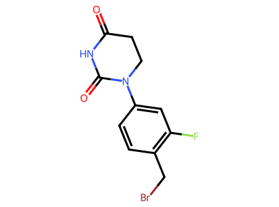 O=C1CCN(c2ccc(CBr)c(F)c2)C(=O)N1